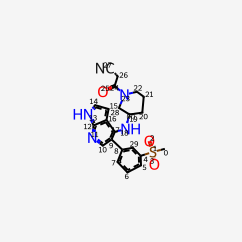 CS(=O)(=O)c1cccc(-c2cnc3[nH]ccc3c2N[C@@H]2CCCN(C(=O)CC#N)C2)c1